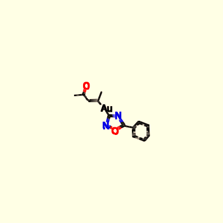 CC(=O)/C=[C](\C)[Au][c]1noc(-c2ccccc2)n1